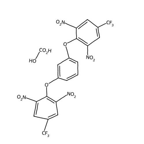 O=C(O)O.O=[N+]([O-])c1cc(C(F)(F)F)cc([N+](=O)[O-])c1Oc1cccc(Oc2c([N+](=O)[O-])cc(C(F)(F)F)cc2[N+](=O)[O-])c1